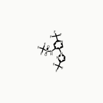 O=S(=O)(Nc1cc(C(F)(F)F)ncc1-n1ccc(C(F)(F)F)n1)C(F)(F)F